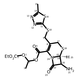 CCOC(=O)OC(C)OC(=O)C1=C(CSc2nnc(C)s2)CS[C@H]2C(N)C(=O)N12